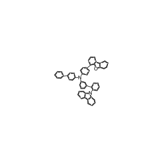 c1ccc(-c2ccc(N(c3ccc(-c4cccc5c4oc4ccccc45)cc3)c3cccc(-c4ccccc4-n4c5ccccc5c5ccccc54)c3)cc2)cc1